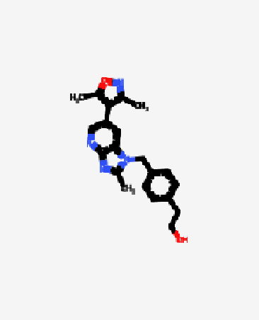 Cc1noc(C)c1-c1cnc2nc(C)n(Cc3ccc(CCO)cc3)c2c1